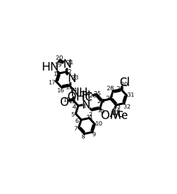 COC(=C/NC(CC1C=CC=CC1)C(=O)Nc1ccc2[nH]cnc2n1)/C(=C\C=O)c1cc(Cl)ccc1C(C)=O